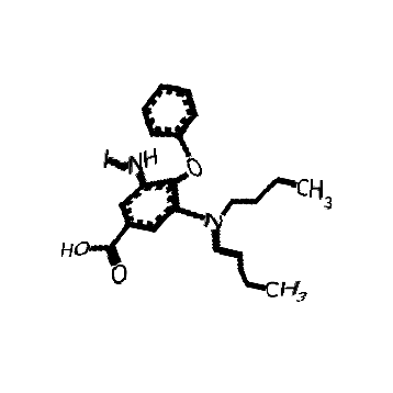 CCCCN(CCCC)c1cc(C(=O)O)cc(NI)c1Oc1ccccc1